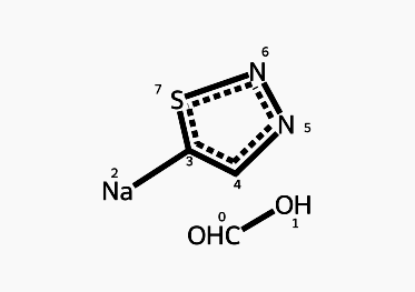 O=CO.[Na][c]1cnns1